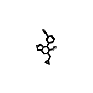 Cl.N#Cc1cccc(C2C(=O)N(CC3CC3)Cc3cncn32)c1